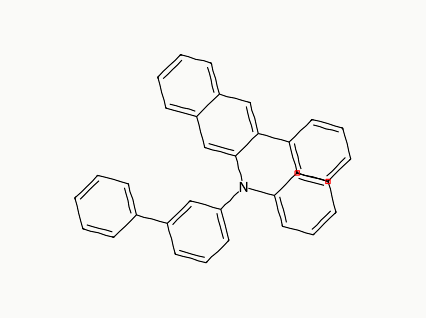 c1ccc(-c2cccc(N(c3ccccc3)c3cc4ccccc4cc3-c3ccccc3)c2)cc1